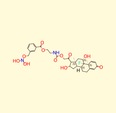 C[C@]12C[C@H](O)C3(F)[C@@H](CCC4=CC(=O)C=C[C@@]43C)C1CC(O)C2C(=O)COC(=O)NCCOC(=O)c1cccc(CON(O)O)c1